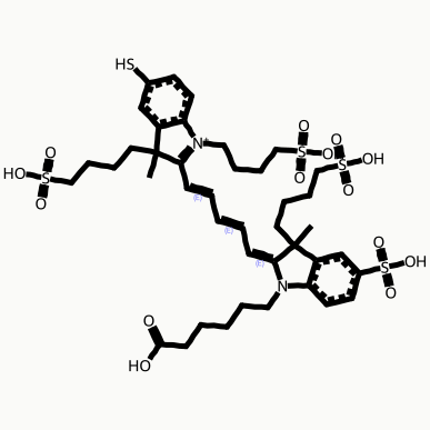 CC1(CCCCS(=O)(=O)O)C(/C=C/C=C/C=C2/N(CCCCCC(=O)O)c3ccc(S(=O)(=O)O)cc3C2(C)CCCCS(=O)(=O)O)=[N+](CCCCS(=O)(=O)O)c2ccc(S)cc21